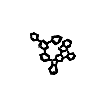 c1ccc(-c2cc(-c3ccccc3)nc(-c3cccc(-n4c5ccccc5c5cc6c7ccccc7n7c8ccccc8nc7c6cc54)c3)c2)cc1